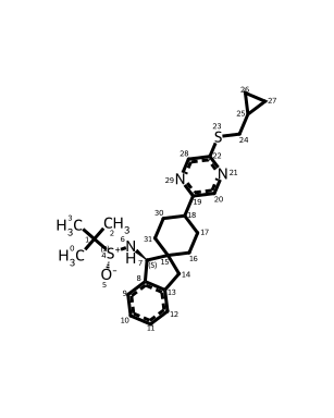 CC(C)(C)[S@@+]([O-])N[C@@H]1c2ccccc2CC12CCC(c1cnc(SCC3CC3)cn1)CC2